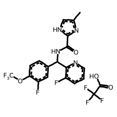 Cc1c[nH]c(C(=O)NC(c2ccc(OC(F)(F)F)c(F)c2)c2ncccc2F)n1.O=C(O)C(F)(F)F